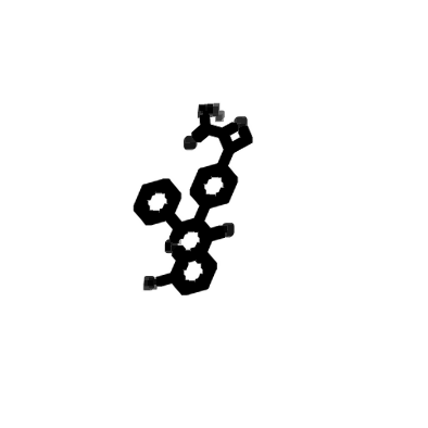 NC(=O)C1OC[C]1c1ccc(-c2c(-c3ccccc3)oc3c(Br)cccc3c2=O)cc1